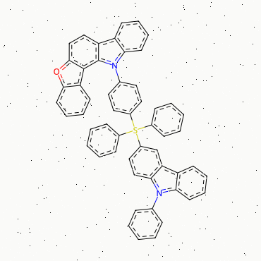 c1ccc(-n2c3ccccc3c3cc(S(c4ccccc4)(c4ccccc4)c4ccc(-n5c6ccccc6c6ccc7oc8ccccc8c7c65)cc4)ccc32)cc1